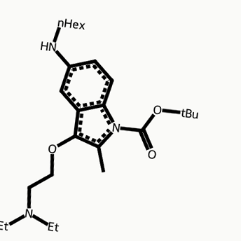 CCCCCCNc1ccc2c(c1)c(OCCN(CC)CC)c(C)n2C(=O)OC(C)(C)C